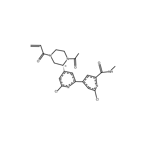 C=CC(=O)N1CCN(C(C)=O)[C@H](c2cc(Cl)nc(-c3cc(Cl)nc(C(=O)NC)c3)c2)C1